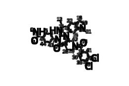 CNC(=O)c1ccc(-n2c(N[C@@H](C)c3ccc4c(ccn4C)c3)nc3c(c2=O)C[C@@H](C)N(C(=O)c2ccc(Cl)c(Cl)c2)C3)cc1